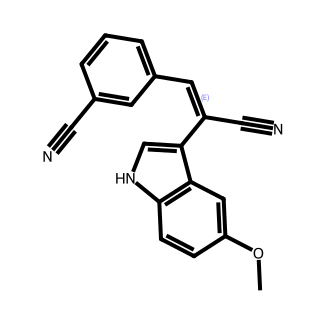 COc1ccc2[nH]cc(/C(C#N)=C\c3cccc(C#N)c3)c2c1